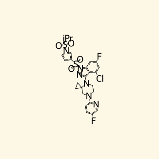 CC(C)S(=O)(=O)n1ccc(S(=O)(=O)n2nc(N3CCN(c4ccc(F)cn4)CC34CC4)c3c(Cl)cc(F)cc32)c1